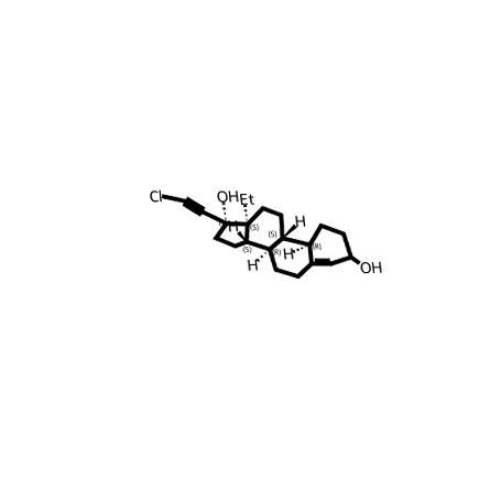 CC[C@]12CC[C@H]3[C@@H](CCC4=CC(O)CC[C@@H]43)[C@@H]1CC[C@@]2(O)C#CCl